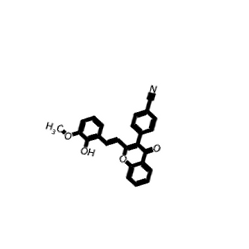 COc1cccc(/C=C/c2oc3ccccc3c(=O)c2-c2ccc(C#N)cc2)c1O